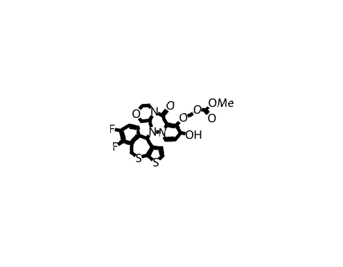 COC(=O)OCOC1=C2C(=O)N3CCOCC3N(C3c4ccsc4SCc4c3ccc(F)c4F)N2C=CC1O